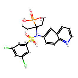 CCC(CC)(N(c1ccc2ncccc2c1)S(=O)(=O)c1cc(Cl)cc(Cl)c1)P(=O)(O)O